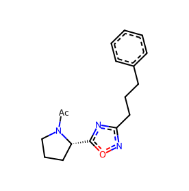 CC(=O)N1CCC[C@H]1c1nc(CCCc2ccccc2)no1